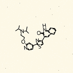 CC(C)N(CCOc1cc(-c2nc(-c3cc4ccccc4[nH]c3=O)cs2)ccn1)C(C)C